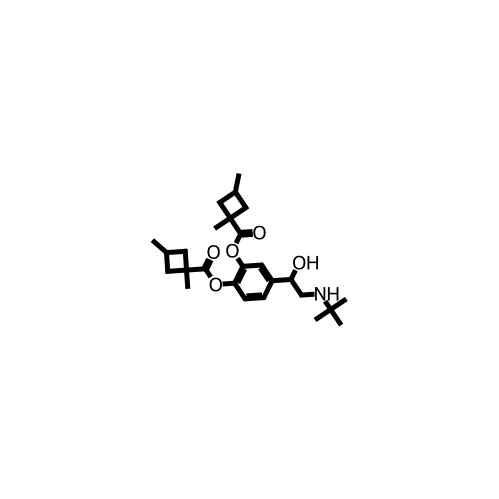 CC1CC(C)(C(=O)Oc2ccc(C(O)CNC(C)(C)C)cc2OC(=O)C2(C)CC(C)C2)C1